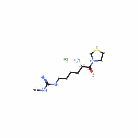 Cl.N#CNC(=N)NCCCC[C@H](N)C(=O)N1CCSC1